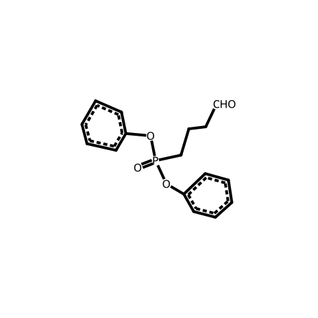 O=CCCCP(=O)(Oc1ccccc1)Oc1ccccc1